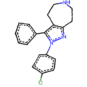 Clc1ccc(-n2nc3c(c2-c2ccccc2)CCNCC3)cc1